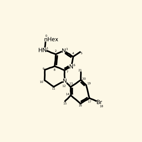 CCCCCCNc1nc(C)nc2c1CCCN2c1c(C)cc(Br)cc1C